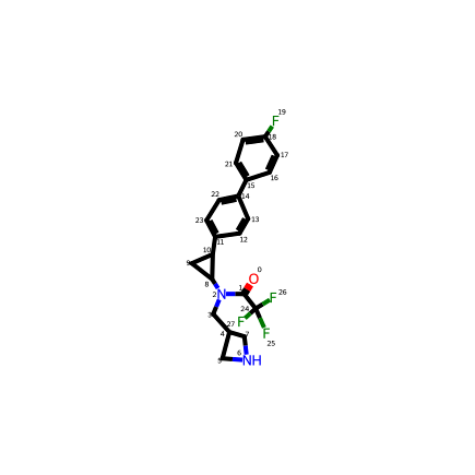 O=C(N(CC1CNC1)C1CC1c1ccc(-c2ccc(F)cc2)cc1)C(F)(F)F